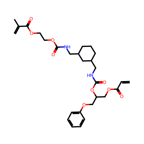 C=CC(=O)OCC(COc1ccccc1)OC(=O)NCC1CCCC(CNC(=O)OCCOC(=O)C(=C)C)C1